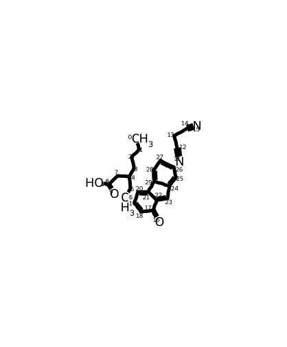 CCCCC(CC)CC(=O)O.N#CCC#N.O=C1C=CC=C2C1=Cc1ccccc12